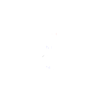 N[C@@H]1CC=C(CNCC(O)CO)OC1